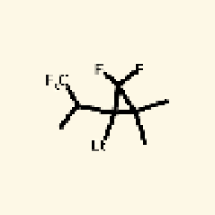 CCC1(C(C)C(F)(F)F)C(C)(C)C1(F)F